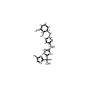 Cc1csc(C(C)(O)c2nnc(Nc3ccn(Cc4cccc(F)c4F)n3)s2)n1